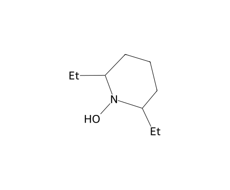 CCC1CCCC(CC)N1O